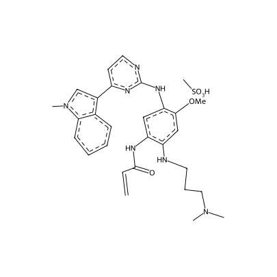 C=CC(=O)Nc1cc(Nc2nccc(-c3cn(C)c4ccccc34)n2)c(OC)cc1NCCCN(C)C.CS(=O)(=O)O